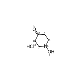 Cl.O=C1CCN(O)CC1